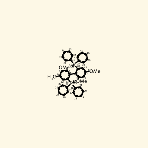 COc1cc(OC)c(-c2c(OC)cc(C)cc2P(=O)(c2ccccc2)c2ccccc2)c(P(=O)(c2ccccc2)c2ccccc2)c1